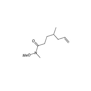 C=CCC(C)CCC(=O)N(C)OC